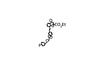 CCOC(=O)c1cc(=O)c2cccc(C=Cc3ccc4c(c3)CC(COCc3ccc(F)cc3)O4)c2o1